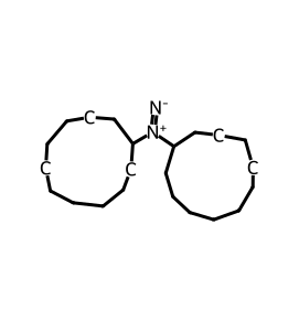 [N-]=[N+](C1CCCCCCCCCC1)C1CCCCCCCCCC1